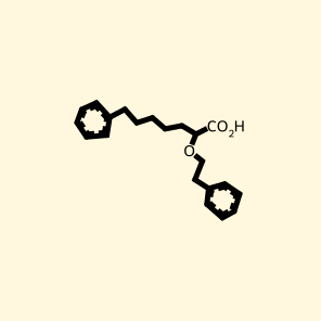 O=C(O)C(CCCCCc1ccccc1)OCCc1ccccc1